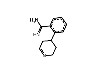 N=C(N)c1ccccc1C1CC=NCC1